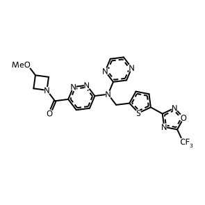 COC1CN(C(=O)c2ccc(N(Cc3ccc(-c4noc(C(F)(F)F)n4)s3)c3cnccn3)nn2)C1